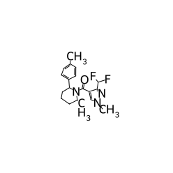 Cc1ccc(C2CCCC(C)N2C(=O)c2cn(C)nc2C(F)F)cc1